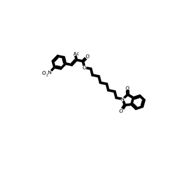 CC(=O)C(=Cc1cccc([N+](=O)[O-])c1)C(=O)OCCCCCCCCN1C(=O)c2ccccc2C1=O